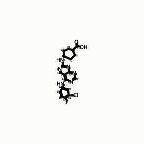 O=C(O)C1CCC(Nc2ncc3c(Nc4ccc(F)c(Cl)c4)ncnc3n2)CC1